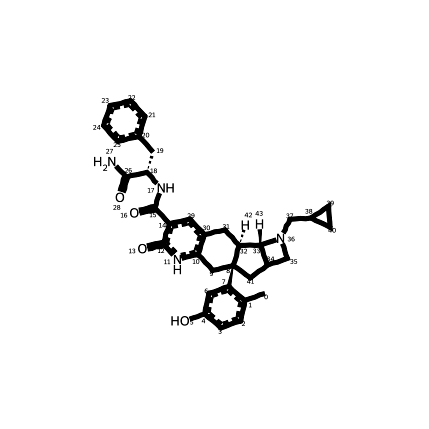 Cc1ccc(O)cc1[C@@]12Cc3[nH]c(=O)c(C(=O)N[C@@H](Cc4ccccc4)C(N)=O)cc3C[C@H]1[C@H]1C(CN1CC1CC1)C2